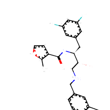 CCc1cccc(CNC[C@@H](O)[C@H](Cc2cc(F)cc(F)c2)NC(=O)c2ccoc2C)c1